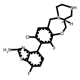 Nc1nc2c(-c3c(Cl)cc4c(c3F)OC[C@H]3CNCCN3C4)ccc(F)c2s1